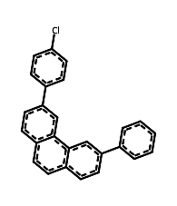 Clc1ccc(-c2ccc3ccc4ccc(-c5ccccc5)cc4c3c2)cc1